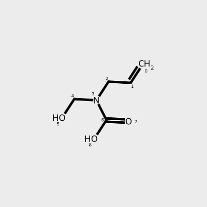 C=CCN(CO)C(=O)O